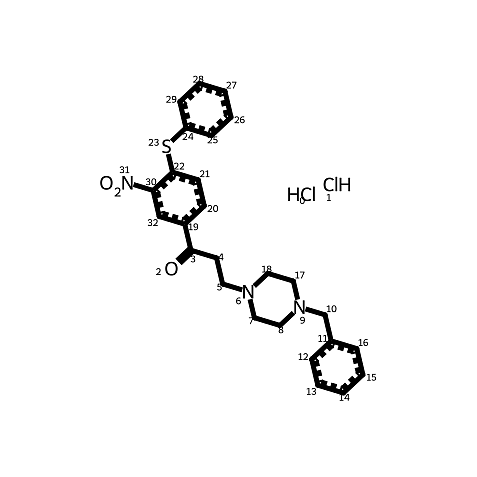 Cl.Cl.O=C(CCN1CCN(Cc2ccccc2)CC1)c1ccc(Sc2ccccc2)c([N+](=O)[O-])c1